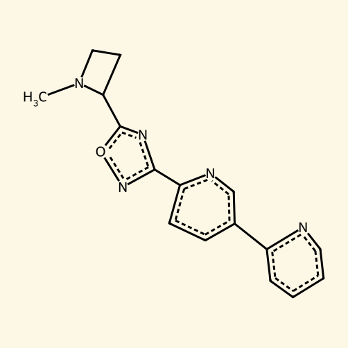 CN1CCC1c1nc(-c2ccc(-c3ccccn3)cn2)no1